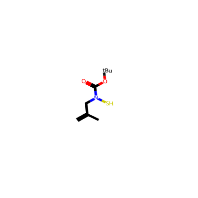 C=C(C)CN(S)C(=O)OC(C)(C)C